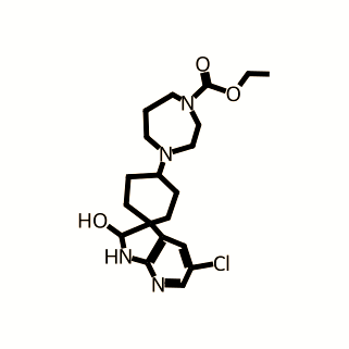 CCOC(=O)N1CCCN(C2CCC3(CC2)c2cc(Cl)cnc2NC3O)CC1